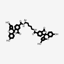 CC(=O)[C@H](CCCCNC(=O)c1ccc2c(c1)C(=O)OC21c2ccc(O)cc2Oc2cc(O)ccc21)NC(=O)c1ccc2c(c1)C(=O)OC21c2ccc(O)cc2Oc2cc(O)ccc21